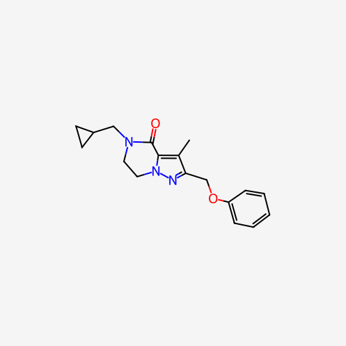 Cc1c(COc2ccccc2)nn2c1C(=O)N(CC1CC1)CC2